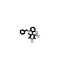 CC1=C(C)C(c2ccccc2SCc2ccccc2)C([N+](=O)[O-])=C(C)N1